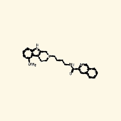 COc1cccc2[nH]c3c(c12)CCN(CCCCNC(=O)c1cc2ccccc2cn1)C3